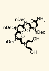 CCCCCCCCCCN(CC(N)=O)C(=O)CN(CCCCCCCCCC)C(=O)CN(CCCCCCCCCC)C(=O)CN(CCCCCCCCCC)C(=O)CN(CCO)CCO